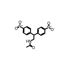 CC(=O)NCC(c1ccc([N+](=O)[O-])cc1)c1ccc([N+](=O)[O-])cc1